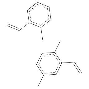 C=Cc1cc(C)ccc1C.C=Cc1ccccc1C